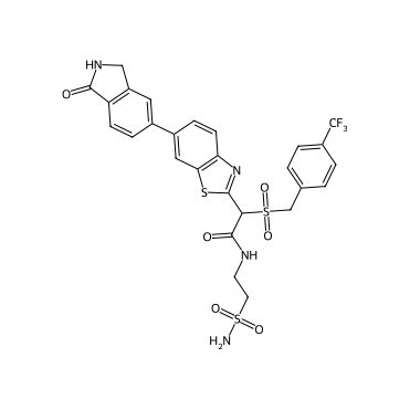 NS(=O)(=O)CCNC(=O)C(c1nc2ccc(-c3ccc4c(c3)CNC4=O)cc2s1)S(=O)(=O)Cc1ccc(C(F)(F)F)cc1